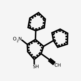 C#Cc1c(S)cc([N+](=O)[O-])c(-c2ccccc2)c1-c1ccccc1